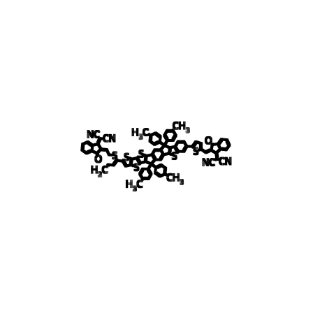 C=C/C=C(\SC/C=C1\C(=O)c2ccccc2C1=C(C#N)C#N)c1cc2sc3c4c(sc3c2s1)-c1cc2c(cc1C4(c1ccc(C)cc1)c1ccc(C)cc1)-c1sc3cc(-c4ccc(/C=C5\C(=O)c6ccccc6C5=C(C#N)C#N)s4)ccc3c1C2(c1ccc(C)cc1)c1ccc(C)cc1